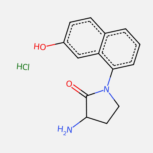 Cl.NC1CCN(c2cccc3ccc(O)cc23)C1=O